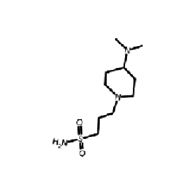 CN(C)C1CCN(CCCS(N)(=O)=O)CC1